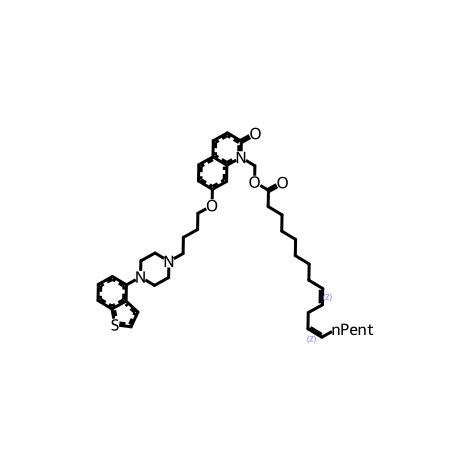 CCCCC/C=C\C/C=C\CCCCCCCC(=O)OCn1c(=O)ccc2ccc(OCCCCN3CCN(c4cccc5sccc45)CC3)cc21